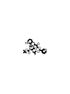 CC(C)C[C@H](NC(=O)OC(C)(C)C)C(=O)N[C@@H](C[C@@H]1CCCNC1=O)C(=O)COC(=O)c1cccnc1